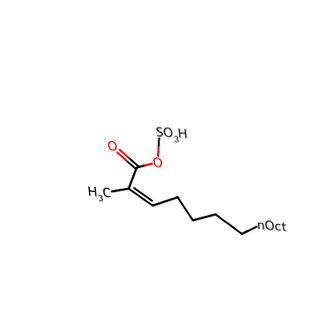 CCCCCCCCCCCCC=C(C)C(=O)OS(=O)(=O)O